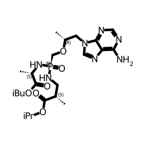 CC(C)COC(=O)[C@H](C)N[P@@](=O)(CO[C@H](C)Cn1cnc2c(N)ncnc21)NC[C@H](C)C(=O)OC(C)C